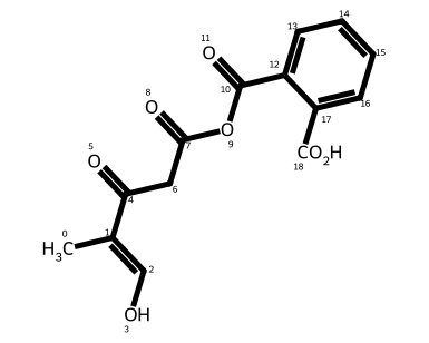 CC(=CO)C(=O)CC(=O)OC(=O)c1ccccc1C(=O)O